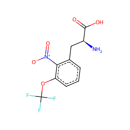 N[C@@H](Cc1cccc(OC(F)(F)F)c1[N+](=O)[O-])C(=O)O